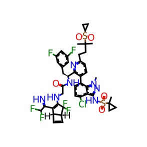 Cn1nc(NS(=O)(=O)C2(C)CC2)c2c(Cl)ccc(-c3ccc(CCC(C)(C)S(=O)(=O)C4CC4)nc3[C@H](Cc3cc(F)cc(F)c3)NC(=O)CNC3=C(C(=N)C(F)F)[C@H]4C=C[C@H]4C3(F)F)c21